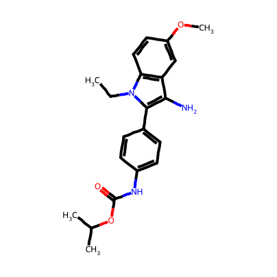 CCn1c(-c2ccc(NC(=O)OC(C)C)cc2)c(N)c2cc(OC)ccc21